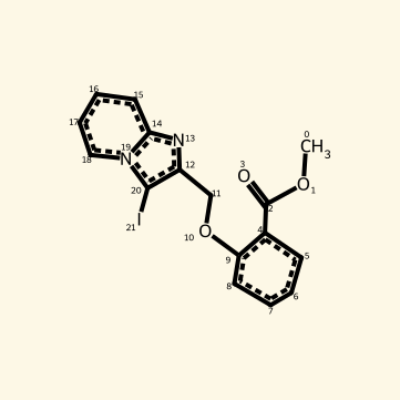 COC(=O)c1ccccc1OCc1nc2ccccn2c1I